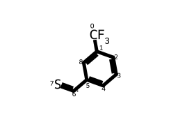 FC(F)(F)c1cccc([C]=S)c1